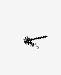 CCCCCCCCC=CCCCCCCCC(=O)C1=NCCN1C(C)NC(C)N